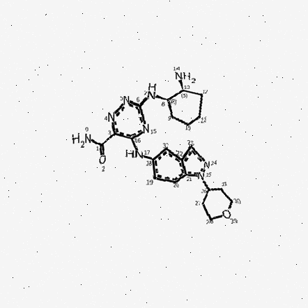 NC(=O)c1nnc(N[C@@H]2CCCC[C@@H]2N)nc1Nc1ccc2c(cnn2C2CCOCC2)c1